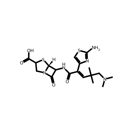 CN(C)CC(C)(C)C=C(C(=O)NC1C(=O)N2CC(C(=O)O)S[C@H]12)c1csc(N)n1